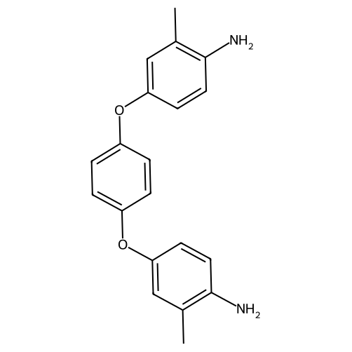 Cc1cc(Oc2ccc(Oc3ccc(N)c(C)c3)cc2)ccc1N